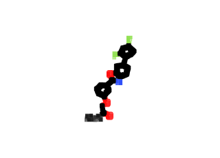 CNC(=O)COc1cccc(-c2nc3ccc(-c4ccc(F)cc4F)cc3o2)c1